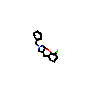 Fc1cccc2c1OC1CN(Cc3ccccc3)CC1C2